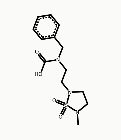 CN1CCN(CCN(Cc2ccccc2)C(=O)O)S1(=O)=O